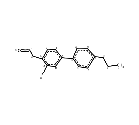 CCCc1ccc(-c2ccc(CC=O)c(F)c2)cc1